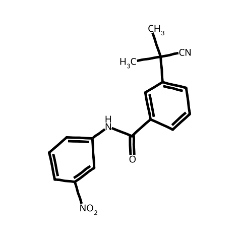 CC(C)(C#N)c1cccc(C(=O)Nc2cccc([N+](=O)[O-])c2)c1